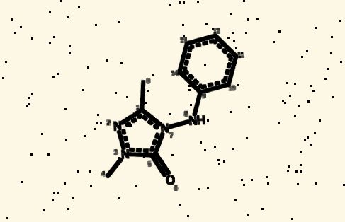 Cc1nn(C)c(=O)n1Nc1ccccc1